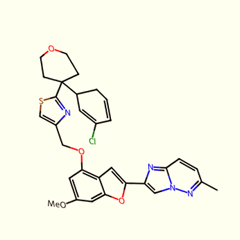 COc1cc(OCc2csc(C3(C4C=C(Cl)C=CC4)CCOCC3)n2)c2cc(-c3cn4nc(C)ccc4n3)oc2c1